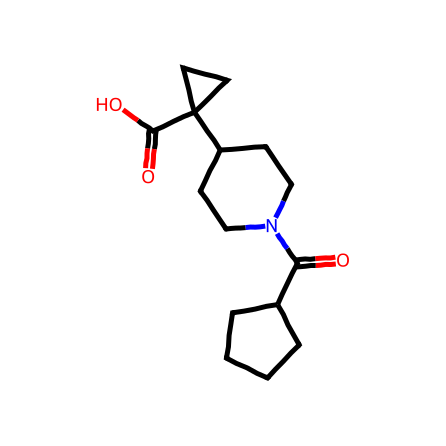 O=C(C1CCCC1)N1CCC(C2(C(=O)O)CC2)CC1